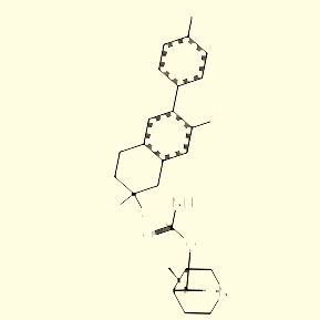 CCc1ccc(-c2cc3c(cc2F)[C@H](NC(=O)O[C@@H]2CN4CCC2CC4)C(C)(C)CC3)cc1